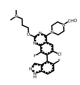 CN(C)CCCOc1nc(N2CCN(C=O)CC2)c2cc(Cl)c(-c3c(F)ccc4[nH]ncc34)c(F)c2n1